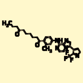 CCCC(=O)CCCCCC(=O)c1ccc(Nc2nccn3c(C4=CCN=C4C(F)(F)F)cnc23)cc1C